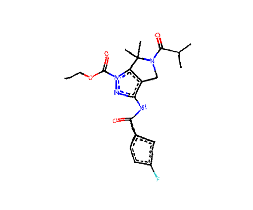 CCOC(=O)n1nc(NC(=O)c2ccc(F)cc2)c2c1C(C)(C)N(C(=O)C(C)C)C2